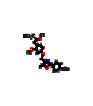 CCO[C@@H](Cc1ccc(OCc2nc(-c3ccc(C(C)(C)C)cc3)oc2C)cc1OC(C)C)C(=O)O